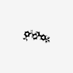 CN(C)c1cccc(Nc2nccn3c(-c4ccc(S(C)(=O)=O)cc4)cnc23)c1